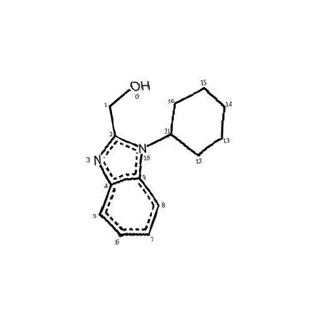 OCc1nc2ccccc2n1C1CCCCC1